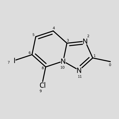 Cc1nc2ccc(I)c(Cl)n2n1